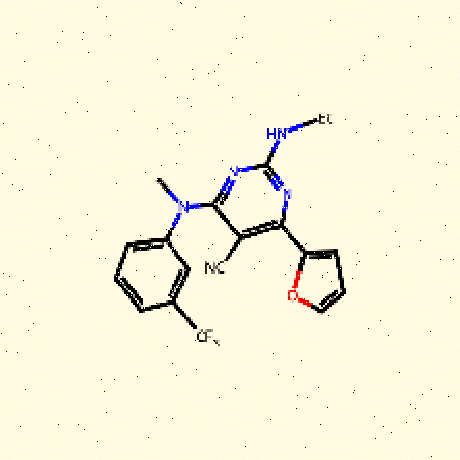 CCNc1nc(-c2ccco2)c(C#N)c(N(C)c2cccc(C(F)(F)F)c2)n1